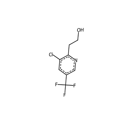 OCCc1ncc(C(F)(F)F)cc1Cl